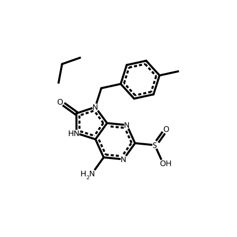 CCC.Cc1ccc(Cn2c(=O)[nH]c3c(N)nc(S(=O)O)nc32)cc1